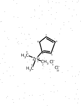 [CH3][Zr+2]([CH3])([CH3])[C]1=CC=CC1.[Cl-].[Cl-]